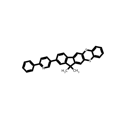 CC1(C)c2cc(-c3ccc(-c4ccccc4)nc3)ccc2-c2cc3c(cc21)Sc1ccccc1S3